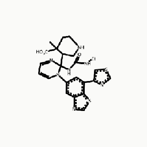 CCNC(=O)NC1(C2CNCCC2(C)C(=O)O)N=CC=CN1c1cc(-c2cscn2)c2scnc2c1